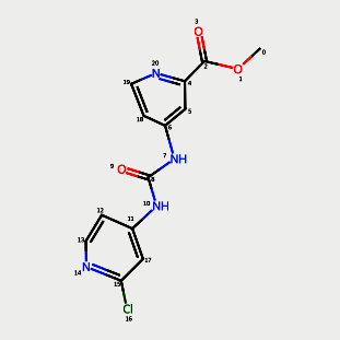 COC(=O)c1cc(NC(=O)Nc2ccnc(Cl)c2)ccn1